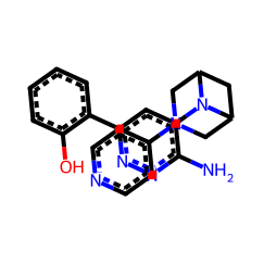 Nc1nnc(-c2ccccc2O)cc1N1C2CC1CN(c1ccncc1)C2